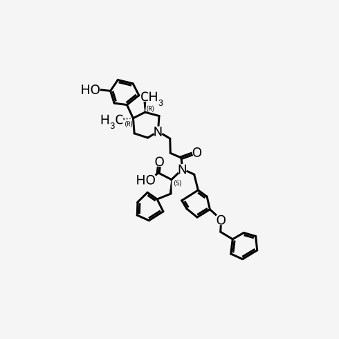 C[C@H]1CN(CCC(=O)N(Cc2cccc(OCc3ccccc3)c2)[C@@H](Cc2ccccc2)C(=O)O)CC[C@@]1(C)c1cccc(O)c1